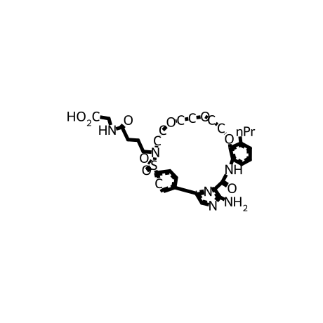 CCCc1cccc2c1OCCOCCOCCN(CCCC(=O)NCC(=O)O)S(=O)(=O)c1ccc(cc1)-c1cnc(N)c(n1)C(=O)N2